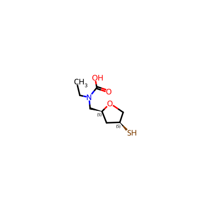 CCN(C[C@@H]1C[C@H](S)CO1)C(=O)O